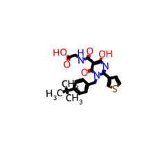 CC(C)(C)c1ccc(Cn2c(-c3ccsc3)nc(O)c(C(=O)NCC(=O)O)c2=O)cc1